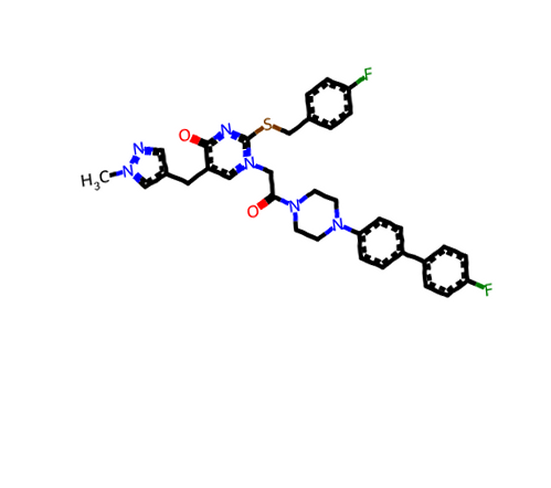 Cn1cc(Cc2cn(CC(=O)N3CCN(c4ccc(-c5ccc(F)cc5)cc4)CC3)c(SCc3ccc(F)cc3)nc2=O)cn1